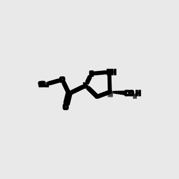 CC(C)(C)OC(=O)N1C[C@@H](C(=O)O)NS1